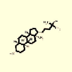 CC(C)(O)CCC[C@H]1CC[C@H]2[C@@H]3CC[C@H]4C[C@@H](O)CC[C@@H]4[C@H]3CC[C@]12C